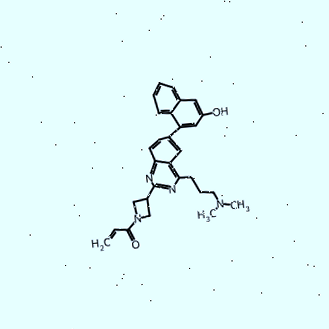 C=CC(=O)N1CC(c2nc(CCCN(C)C)c3cc(-c4cc(O)cc5ccccc45)ccc3n2)C1